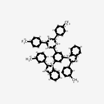 Cc1cccc(-c2nc3ccccc3n2-c2cc(-c3nc(-c4ccc(C(F)(F)F)cc4)nc(-c4ccc(C(F)(F)F)cc4)n3)cc(-n3c(-c4cccc(C)c4)nc4ccccc43)c2)c1